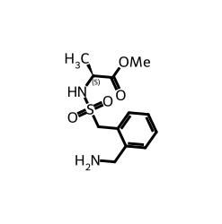 COC(=O)[C@H](C)NS(=O)(=O)Cc1ccccc1CN